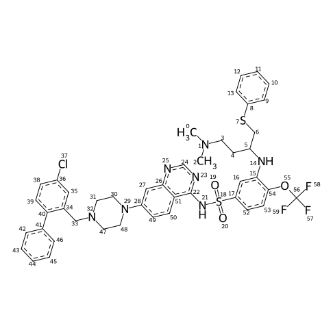 CN(C)CCC(CSc1ccccc1)Nc1cc(S(=O)(=O)Nc2ncnc3cc(N4CCN(Cc5cc(Cl)ccc5-c5ccccc5)CC4)ccc23)ccc1OC(F)(F)F